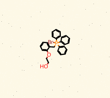 OCCOc1ccccc1CP(Br)(c1ccccc1)(c1ccccc1)c1ccccc1